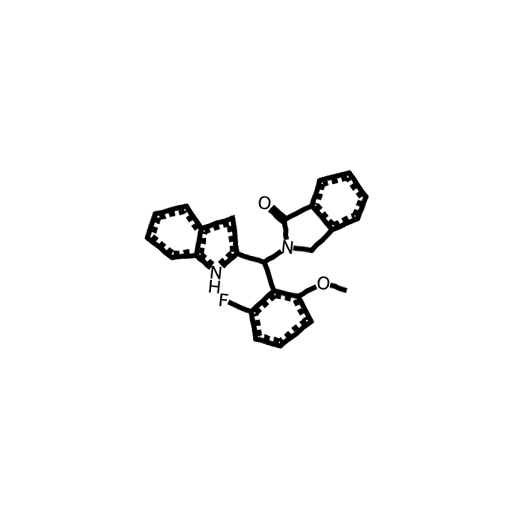 COc1cccc(F)c1C(c1cc2ccccc2[nH]1)N1Cc2ccccc2C1=O